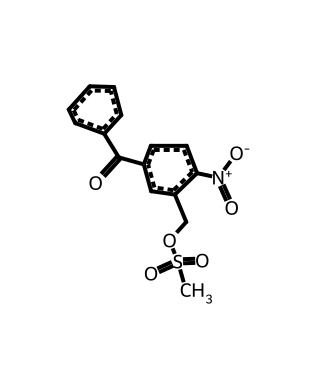 CS(=O)(=O)OCc1cc(C(=O)c2ccccc2)ccc1[N+](=O)[O-]